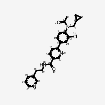 CC(=O)N(CC1CC1)c1ccc(-c2ccc(C(=O)NCCc3cccnc3)cn2)cc1Cl